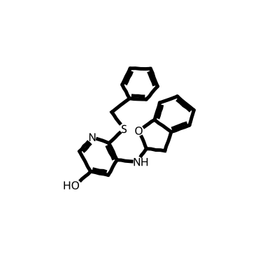 Oc1cnc(SCc2ccccc2)c(NC2Cc3ccccc3O2)c1